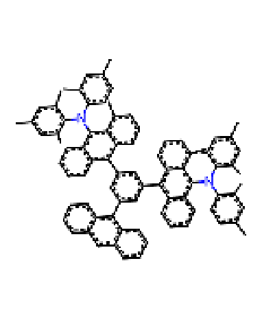 Cc1ccc(N(c2c(C)cc(C)cc2C)c2c3ccccc3c(-c3cc(-c4c5ccccc5cc5ccccc45)cc(-c4c5ccccc5c(N(c5ccc(C)cc5C)c5c(C)cc(C)cc5C)c5c(C)cccc45)c3)c3cccc(C)c23)c(C)c1